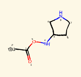 CC(C)(C)C(=O)ONC1CCNC1